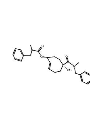 CN(Cc1ccccc1)C(=O)O[C@@H]1/C=C/CC[C@](O)(C(=O)N(C)Cc2ccccc2)CC1